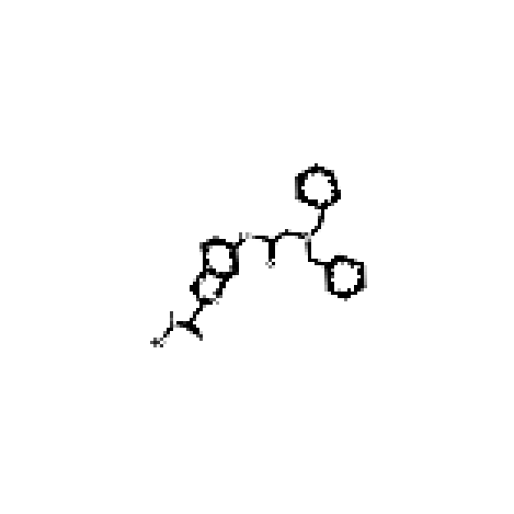 O=C(CN(Cc1ccccc1)Cc1ccccc1)Nc1ccc2cc(C(=O)NO)sc2c1